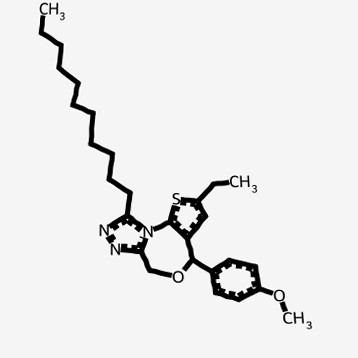 CCCCCCCCCCCc1nnc2n1-c1sc(CC)cc1C(c1ccc(OC)cc1)OC2